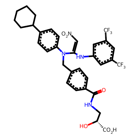 O=C(NC[C@@H](O)C(=O)O)c1ccc(CN(/C(=C\[N+](=O)[O-])Nc2cc(C(F)(F)F)cc(C(F)(F)F)c2)c2ccc(C3CCCCC3)cc2)cc1